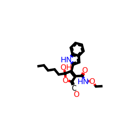 CCCCCC1(O)OC(=C=O)C(C(=O)NOCC)=C1c1cc2ccccc2[nH]1